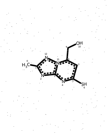 Cc1nc2nc(S)cc(CO)n2n1